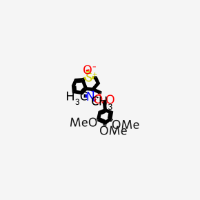 COc1cc(C(=O)OCC2(N(C)C)CC[S+]([O-])c3ccccc32)cc(OC)c1OC